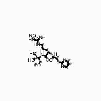 CC(C)C[C@H](NC(=O)[C@H](CCCNC(=N)N[N+](=O)[O-])NC(=O)CSc1ncccn1)B(O)O